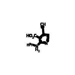 C#Cc1ccnc([SiH2]CCC)c1C(=O)O